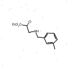 CCOC(=O)C(Cl)CNCc1cccc(C)c1